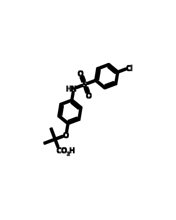 CC(C)(Oc1ccc(NS(=O)(=O)c2ccc(Cl)cc2)cc1)C(=O)O